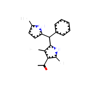 CC(=O)c1c(C)[nH]c(C(c2ccccc2)c2ccc(C)[nH]2)c1C